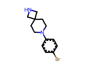 Brc1ccc(N2CCC3(CC2)CNC3)cc1